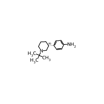 CC(C)(C)N1CCC[C@H](c2ccc(N)cc2)C1